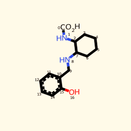 O=C(O)NC1CCCCC1NCc1ccccc1O